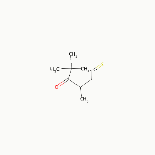 CC(C[C]=S)C(=O)C(C)(C)C